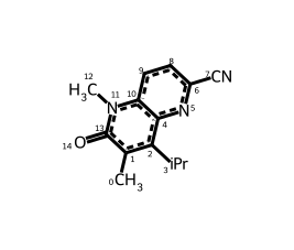 Cc1c(C(C)C)c2nc(C#N)ccc2n(C)c1=O